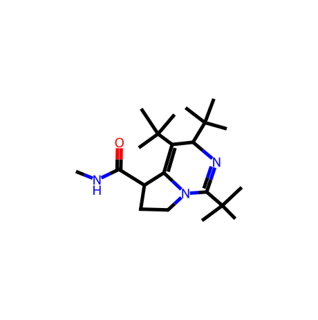 CNC(=O)C1CCN2C(C(C)(C)C)=NC(C(C)(C)C)C(C(C)(C)C)=C12